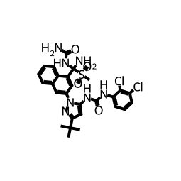 CC(C)(C)c1cc(NC(=O)Nc2cccc(Cl)c2Cl)n(-c2cc(C(N)(NC(N)=O)S(C)(=O)=O)c3ccccc3c2)n1